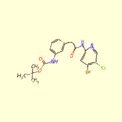 CC(C)(C)OC(=O)Nc1cccc(CC(=O)Nc2cc(Br)c(Cl)cn2)c1